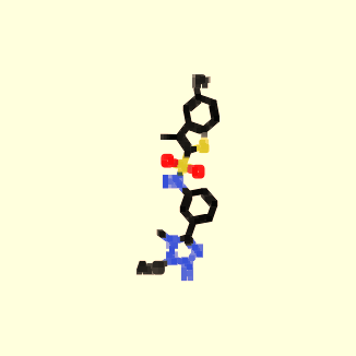 CC(=O)ON1NN=C(c2cccc(NS(=O)(=O)c3sc4ccc(C(C)C)cc4c3C)c2)N1C